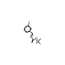 C=C(/N=C/c1cccc(I)c1)O[Si](C)(C)C